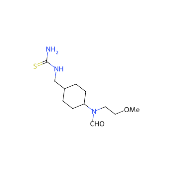 COCCN(C=O)C1CCC(CNC(N)=S)CC1